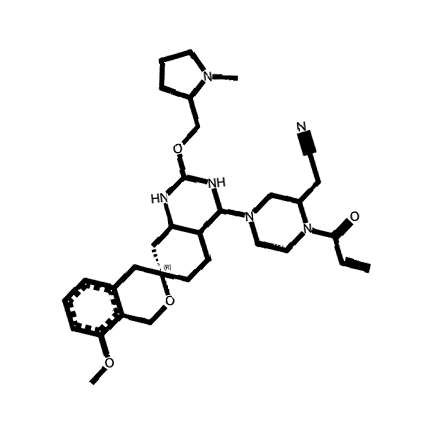 C=CC(=O)N1CCN(C2NC(OCC3CCCN3C)NC3C[C@@]4(CCC32)Cc2cccc(OC)c2CO4)CC1CC#N